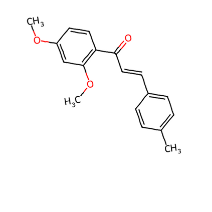 COc1ccc(C(=O)/C=C/c2ccc(C)cc2)c(OC)c1